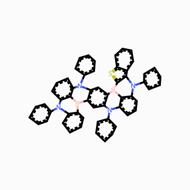 c1ccc(N2c3ccccc3B3c4cc5c(cc4N(c4ccccc4)c4cccc2c43)B2c3sc4ccccc4c3N(c3ccccc3)c3cccc(c32)N5c2ccccc2)cc1